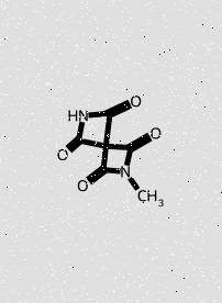 CN1C(=O)C2(C(=O)NC2=O)C1=O